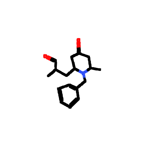 CC(C=O)CC1CC(=O)CC(C)N1Cc1ccccc1